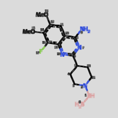 BBN1CCC(c2nc(N)c3cc(OC)c(OC)c(F)c3n2)CC1